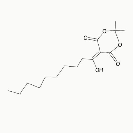 CCCCCCCCCC(O)=C1C(=O)OC(C)(C)OC1=O